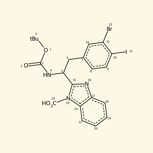 CC(C)(C)OC(=O)NC(Cc1ccc(I)c(Br)c1)c1nc2ccccc2n1C(=O)O